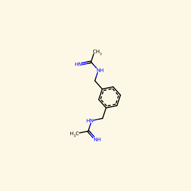 CC(=N)NCc1cccc(CNC(C)=N)c1